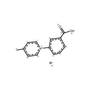 Cc1cc[n+](-c2cccc(C(=O)O)c2)cc1.[Br-]